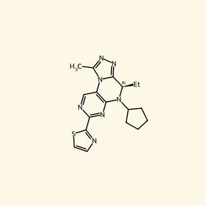 CC[C@@H]1c2nnc(C)n2-c2cnc(-c3nccs3)nc2N1C1CCCC1